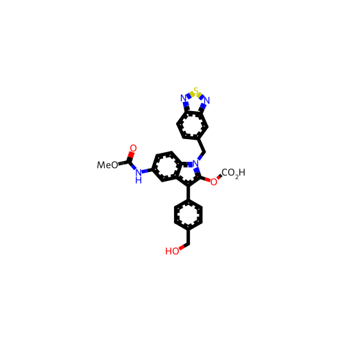 COC(=O)Nc1ccc2c(c1)c(-c1ccc(CO)cc1)c(OC(=O)O)n2Cc1ccc2nsnc2c1